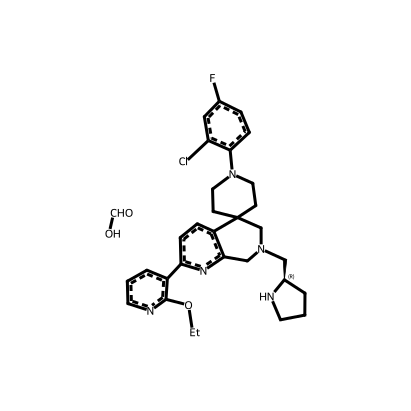 CCOc1ncccc1-c1ccc2c(n1)CN(C[C@H]1CCCN1)CC21CCN(c2ccc(F)cc2Cl)CC1.O=CO